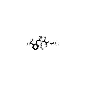 CCOC(=O)C(=O)N(N)C(=N)Cc1ccccc1[N+](=O)[O-]